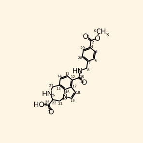 COC(=O)c1ccc(CNC(=O)c2ccc3c4c2ccn4CC(C(=O)O)NC3)cc1